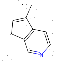 CC1=CCc2cnccc21